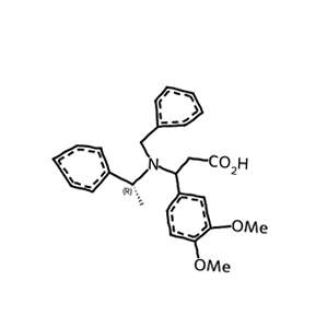 COc1ccc(C(CC(=O)O)N(Cc2ccccc2)[C@H](C)c2ccccc2)cc1OC